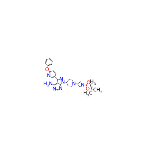 CC(C)(C)OC(=O)N1CC(N2CCC(n3nc(-c4ccc(Oc5ccccc5)nc4)c4c(N)ncnc43)CC2)C1